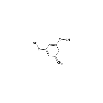 C=C1C=C(OC#N)C=C(OC#N)C1